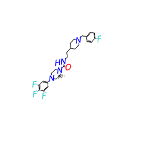 C[C@@H]1CN(c2cc(F)c(F)c(F)c2)CCN1C(=O)NCCC1CCN(Cc2ccc(F)cc2)CC1